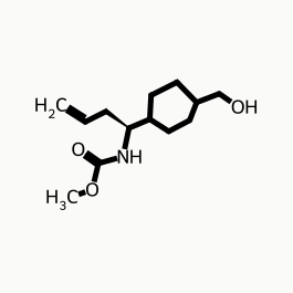 C=CC[C@H](NC(=O)OC)C1CCC(CO)CC1